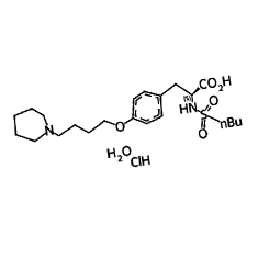 CCCCS(=O)(=O)N[C@@H](Cc1ccc(OCCCCN2CCCCC2)cc1)C(=O)O.Cl.O